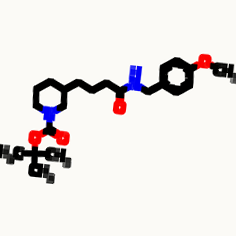 COc1ccc(CNC(=O)CCCC2CCCN(C(=O)OC(C)(C)C)C2)cc1